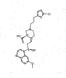 COc1ccc2nccc([C@H](O)CC[C@@H]3CCN(CCCc4ccc(Cl)s4)C[C@@H]3C(=O)O)c2c1